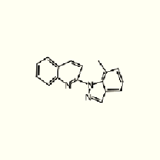 Cc1cccc2cnn(-c3ccc4ccccc4n3)c12